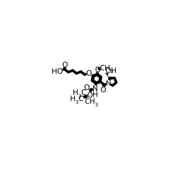 COc1cc(C(=O)N2CCC[C@H]2CO)c(NC(=O)OC(C)(C)C)cc1OCCCCCC(=O)O